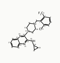 FC(F)(F)c1cccc(Cl)c1CN1CCN(c2nc3ccccc3nc2NC2CC2)CC1